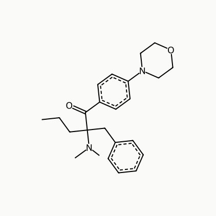 CCCC(Cc1ccccc1)(C(=O)c1ccc(N2CCOCC2)cc1)N(C)C